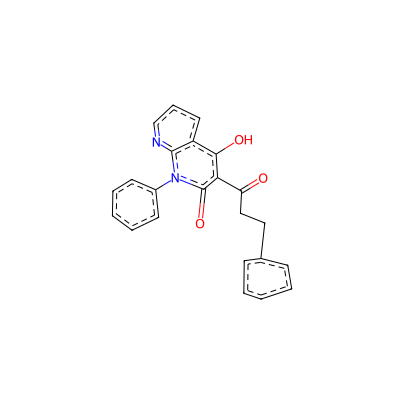 O=C(CCc1ccccc1)c1c(O)c2cccnc2n(-c2ccccc2)c1=O